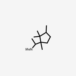 CNC(C)C1(C)CCC(C)C1(C)C